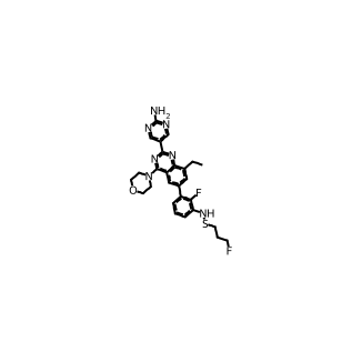 CCc1cc(-c2cccc(NSCCCF)c2F)cc2c(N3CCOCC3)nc(-c3cnc(N)nc3)nc12